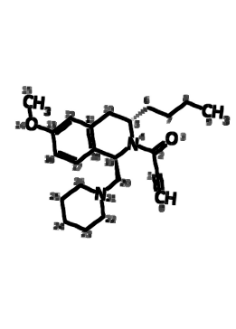 C#CC(=O)N1[C@@H](CCCC)Cc2cc(OC)ccc2[C@@H]1CN1CCCCC1